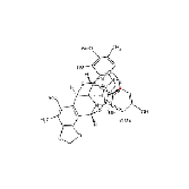 COc1cc2c(cc1O)CCN[C@]21CS[C@@H]2c3c(OC(C)=O)c(C)c4c(c3[C@@H](OC1=O)N1[C@@H]2[C@@H]2c3c(cc(C)c(OC)c3O)C[C@H]([C@@H]1O)N2C)OCO4